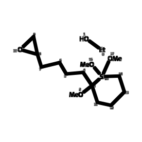 CCO.COC1(CCCCC2CO2)CCCC[Si]1(OC)OC